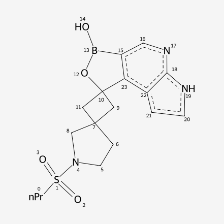 CCCS(=O)(=O)N1CCC2(C1)CC1(C2)OB(O)c2cnc3[nH]ccc3c21